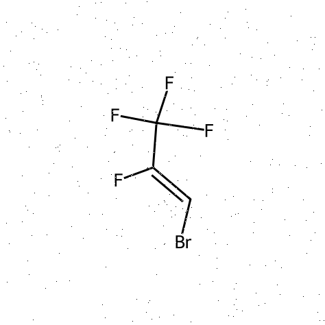 FC(=CBr)C(F)(F)F